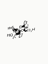 CSc1ncc(Cl)c(C(=O)O)n1.O=C(O)CC(NC(=O)C(F)(F)F)C(=O)O